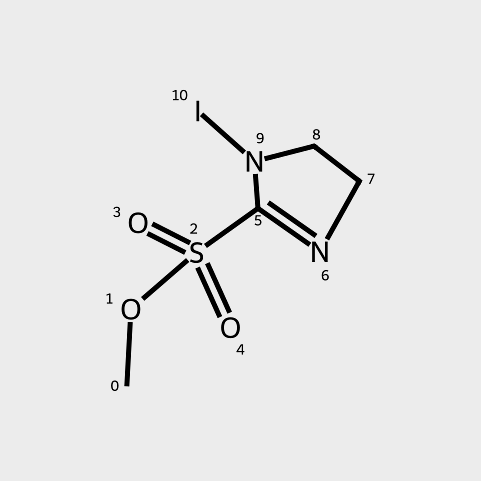 COS(=O)(=O)C1=NCCN1I